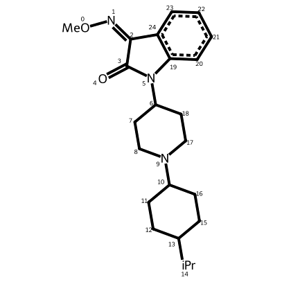 CON=C1C(=O)N(C2CCN(C3CCC(C(C)C)CC3)CC2)c2ccccc21